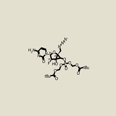 CC(C)(C)C(=O)OCOP(=O)(OCOC(=O)C(C)(C)C)OC1[C@@]2(CN=[N+]=[N-])O[C@@H](n3ccc(N)nc3=O)[C@H](F)[C@@]12O